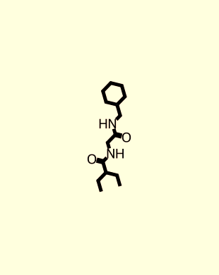 CCC(CC)C(=O)NCC(=O)NCC1CCCCC1